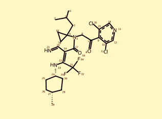 CC(C)CC1(N(CC(=O)c2c(Cl)cncc2Cl)C(=O)/C(C=N)=C(/N[C@H]2CC[C@@H](C)CC2)C(F)(F)F)CC1